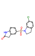 O=C1Cc2cc(S(=O)(=O)N3CCc4ccc(Cl)cc43)ccc2N1